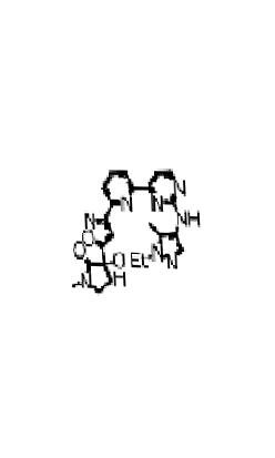 CCn1ncc(Nc2nccc(-c3cccc(-c4cc(C5(O)CCN(C)C5=O)on4)n3)n2)c1C